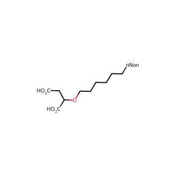 CCCCCCCCCCCCCCCOC(CC(=O)O)C(=O)O